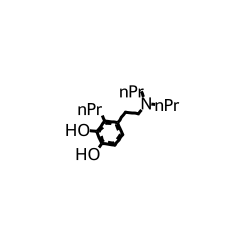 CCCc1c(CCN(CCC)CCC)ccc(O)c1O